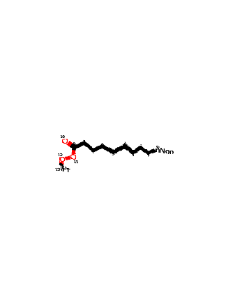 CCCCCCCCCCCCCCCCCC(=O)OOC(C)C